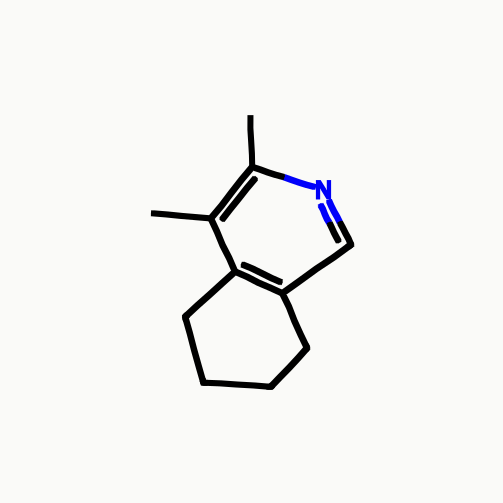 Cc1ncc2c(c1C)CCCC2